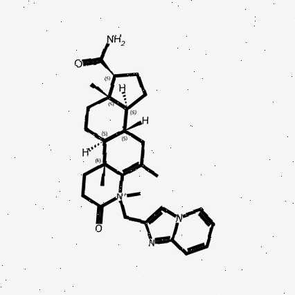 CC1=C2[C@](C)(CCC(=O)[N+]2(C)Cc2cn3ccccc3n2)[C@H]2CC[C@]3(C)[C@@H](C(N)=O)CC[C@H]3[C@@H]2C1